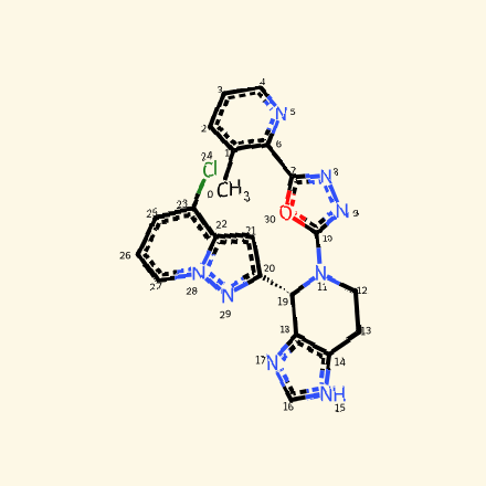 Cc1cccnc1-c1nnc(N2CCc3[nH]cnc3[C@@H]2c2cc3c(Cl)cccn3n2)o1